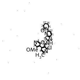 COc1cnccc1-c1cc(C)nc(Cl)c1C(=O)Nc1nc2ccc(N3CCCCC3=O)nc2s1